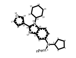 CCCCCN([C]1CCCC1)c1ccc2c(c1)nc(-c1ccoc1)n2C1CCCCC1